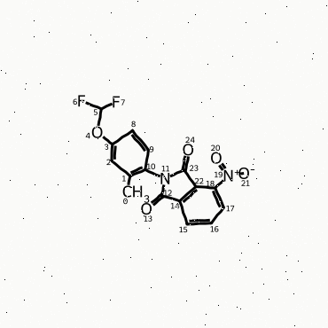 Cc1cc(OC(F)F)ccc1N1C(=O)c2cccc([N+](=O)[O-])c2C1=O